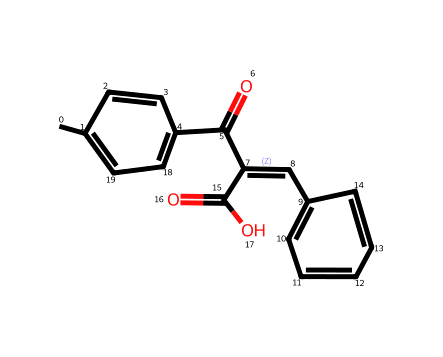 Cc1ccc(C(=O)/C(=C/c2ccccc2)C(=O)O)cc1